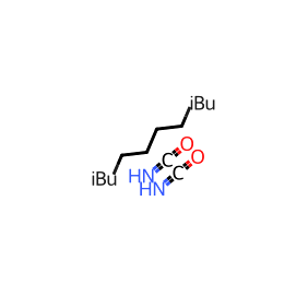 CCC(C)CCCCC(C)CC.N=C=O.N=C=O